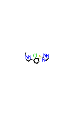 CCn1ccc(-c2cccc(Sc3nccnn3)c2Cl)n1